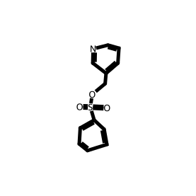 O=S(=O)(OCc1cccnc1)c1ccccc1